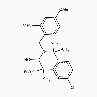 CCOC(=O)C1(C)c2nc(Cl)ccc2C(C)(C)N(Cc2ccc(OC)cc2OC)C1O